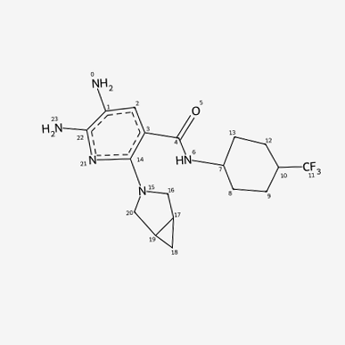 Nc1cc(C(=O)NC2CCC(C(F)(F)F)CC2)c(N2CC3CC3C2)nc1N